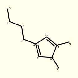 CCCCC1=C[C](C)C(C)=C1